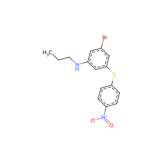 CCCNc1cc(Br)cc(Sc2ccc([N+](=O)[O-])cc2)c1